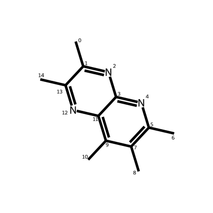 Cc1nc2nc(C)c(C)c(C)c2nc1C